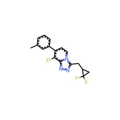 Cc1cccc(-c2ccn3c(CC4CC4(F)F)nnc3c2F)c1